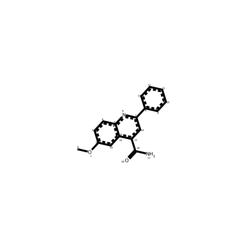 COc1ccc2nc(-c3ccccc3)cc(C(N)=O)c2c1